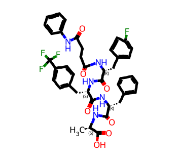 C[C@H](NC(=O)[C@@H](Cc1ccccc1)NC(=O)[C@H](Cc1ccc(C(F)(F)F)cc1)NC(=O)[C@@H](Cc1ccc(F)cc1)NC(=O)CCC(=O)Nc1ccccc1)C(=O)O